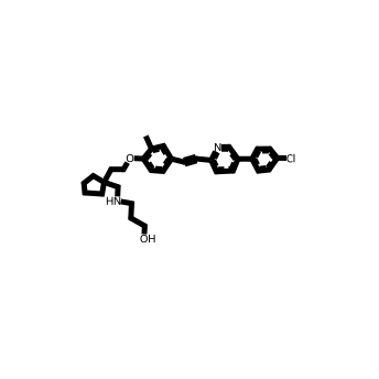 Cc1cc(C#Cc2ccc(-c3ccc(Cl)cc3)cn2)ccc1OCCC1(CNCCCO)CCCC1